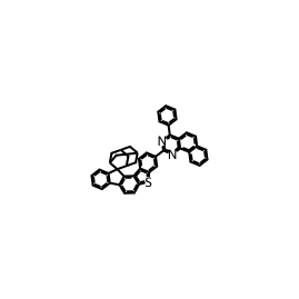 c1ccc(-c2nc(-c3ccc4c(c3)sc3ccc5c(c34)C3(c4ccccc4-5)C4CC5CC(C4)CC3C5)nc3c2ccc2ccccc23)cc1